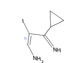 N=C(/C(I)=C\N)C1CC1